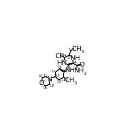 CCC1NC(C(N)=O)=C(NC2=CCC(N3CCOCC3)CC2C)NC1Cl